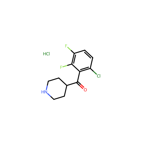 Cl.O=C(c1c(Cl)ccc(F)c1F)C1CCNCC1